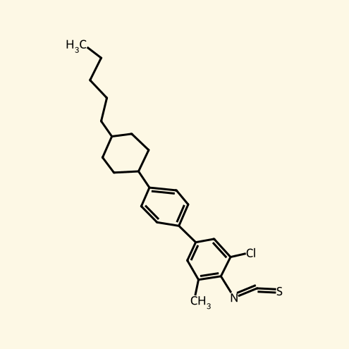 CCCCCC1CCC(c2ccc(-c3cc(C)c(N=C=S)c(Cl)c3)cc2)CC1